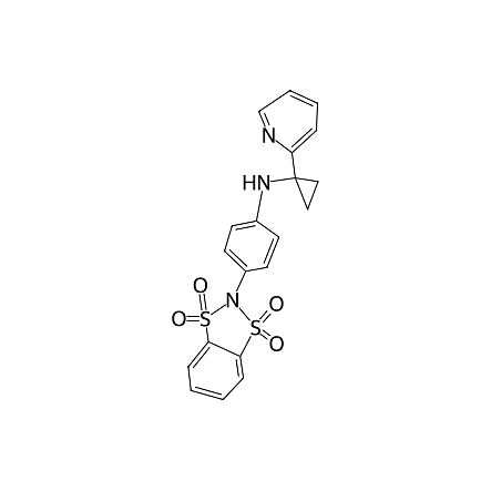 O=S1(=O)c2ccccc2S(=O)(=O)N1c1ccc(NC2(c3ccccn3)CC2)cc1